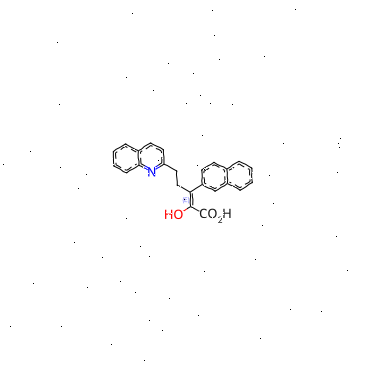 O=C(O)/C(O)=C(/CCc1ccc2ccccc2n1)c1ccc2ccccc2c1